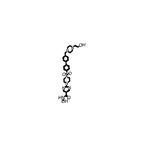 O=C(NO)c1cnc(N2CCN(S(=O)(=O)c3ccc(-c4ccc(CN5CCN(CCO)CC5)cc4)cc3)CC2)nc1